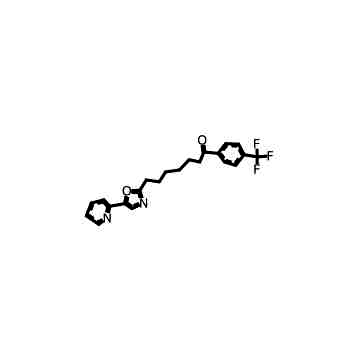 O=C(CCCCCCc1ncc(-c2ccccn2)o1)c1ccc(C(F)(F)F)cc1